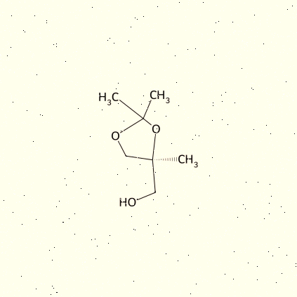 CC1(C)OC[C@](C)(CO)O1